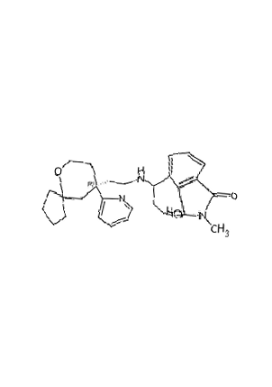 CN1C(=O)c2cccc3c2C1(O)CCC3NCC[C@@]1(c2ccccn2)CCOC2(CCCC2)C1